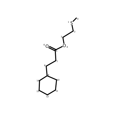 CSCCOC(=O)CCC1CCCCC1